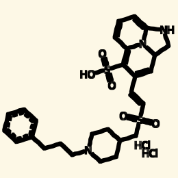 Cl.Cl.O=S(=O)(/C=C/C1=CC2CNC3=CC=CC(=C1S(=O)(=O)O)N32)CC1CCN(CCCc2ccccc2)CC1